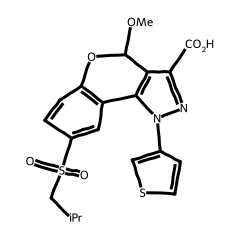 COC1Oc2ccc(S(=O)(=O)CC(C)C)cc2-c2c1c(C(=O)O)nn2-c1ccsc1